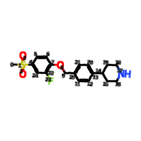 CS(=O)(=O)c1ccc(OCc2ccc(C3CCNCC3)cc2)c(F)c1